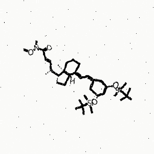 CON(C)C(=O)/C=C/[C@@H](C)[C@H]1CC[C@H]2/C(=C/C=C3C[C@@H](O[Si](C)(C)C(C)(C)C)C[C@H](O[Si](C)(C)C(C)(C)C)C3)CCC[C@]12C